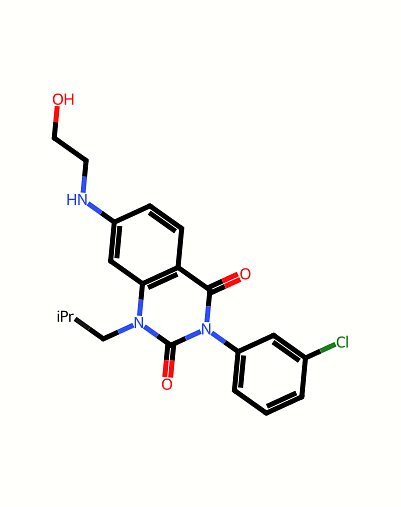 CC(C)Cn1c(=O)n(-c2cccc(Cl)c2)c(=O)c2ccc(NCCO)cc21